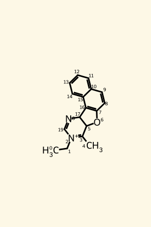 CC[N+]1=C(C)C2Oc3ccc4ccccc4c3C2N=C1